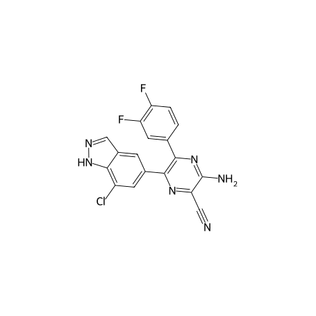 N#Cc1nc(-c2cc(Cl)c3[nH]ncc3c2)c(-c2ccc(F)c(F)c2)nc1N